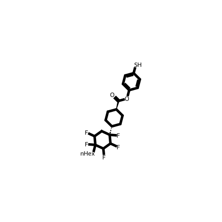 CCCCCCC1(F)C(F)[CH]C(F)([C@H]2CC[C@H](C(=O)Oc3ccc(S)cc3)CC2)C(F)C1F